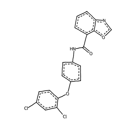 O=C(Nc1ccc(Oc2ccc(Cl)cc2Cl)cc1)c1cccc2ncoc12